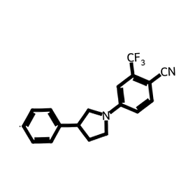 N#Cc1ccc(N2CCC(c3cc[c]cc3)C2)cc1C(F)(F)F